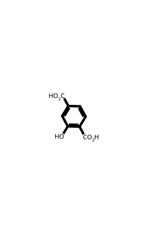 O=C(O)c1ccc(C(=O)O)c(O)c1